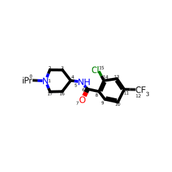 CC(C)N1CCC(NC(=O)c2ccc(C(F)(F)F)cc2Cl)CC1